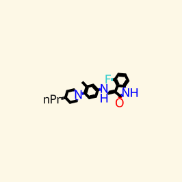 CCCC1CCN(c2ccc(N/C=C3/C(=O)Nc4cccc(F)c43)cc2C)CC1